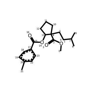 COC(=O)C1(CCC(C)C)CCCC1OC(=O)c1ccc(C)cc1